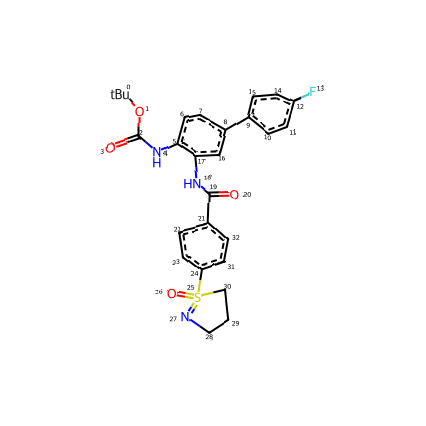 CC(C)(C)OC(=O)Nc1ccc(-c2ccc(F)cc2)cc1NC(=O)c1ccc(S2(=O)=NCCC2)cc1